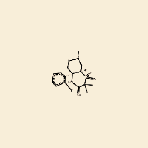 C[C@@H]1C[C@@H]2[C@](c3ccccc3F)(CO1)NC(=N)C(C)(C)S2(=O)=O